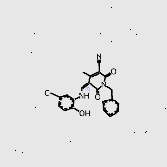 CC1=C(C#N)C(=O)N(Cc2ccccc2)C(=O)/C1=C\Nc1cc(Cl)ccc1O